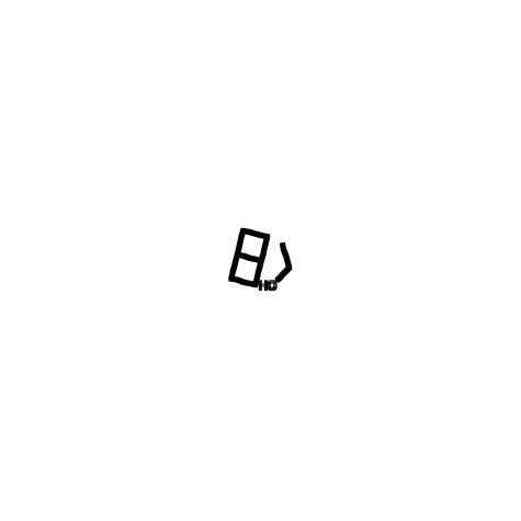 C1CC2CCC12.CCO